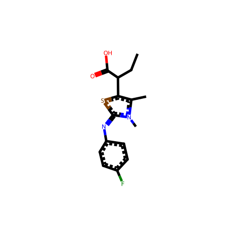 CCC(C(=O)O)c1s/c(=N/c2ccc(F)cc2)n(C)c1C